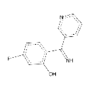 N=C(c1cccnc1)c1ccc(F)cc1O